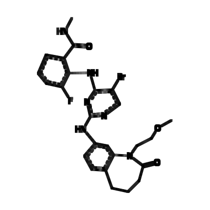 CNC(=O)c1cccc(F)c1Nc1nc(Nc2ccc3c(c2)N(CCOC)C(=O)CCC3)ncc1Br